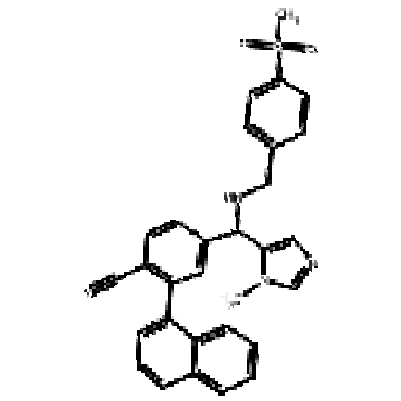 Cn1cncc1C(NCc1ccc(S(C)(=O)=O)cc1)c1ccc(C#N)c(-c2cccc3ccccc23)c1